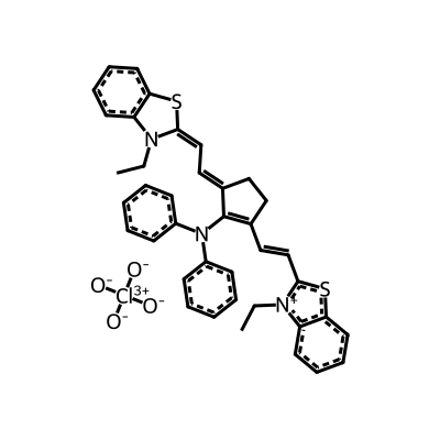 CCN1C(=CC=C2CCC(C=Cc3sc4ccccc4[n+]3CC)=C2N(c2ccccc2)c2ccccc2)Sc2ccccc21.[O-][Cl+3]([O-])([O-])[O-]